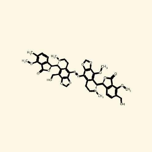 COc1c(C)ccc2c1C(=O)O[C@@H]2[C@H]1c2c(c(N=Nc3c4c(c(OC)c5c3OCO5)[C@H]([C@H]3OC(=O)c5c3ccc(CO)c5OC)N(C)CC4)c3c(c2CO)OCO3)CCN1C